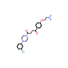 CN(C)CCOc1ccc(C(=O)CCC(=O)N2CCN(c3cccc(Cl)c3)CC2)cc1